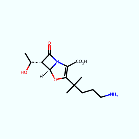 CC(O)[C@@H]1C(=O)N2C(C(=O)O)=C(C(C)(C)CCCN)O[C@@H]12